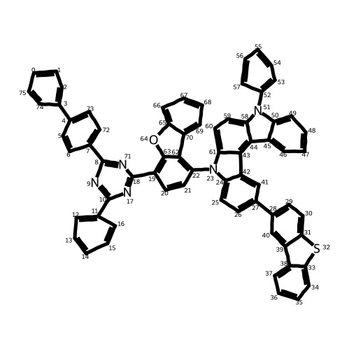 c1ccc(-c2ccc(-c3nc(-c4ccccc4)nc(-c4ccc(-n5c6ccc(-c7ccc8sc9ccccc9c8c7)cc6c6c7c8ccccc8n(-c8ccccc8)c7ccc65)c5c4oc4ccccc45)n3)cc2)cc1